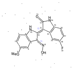 COc1ccc2c(c1)C(=N\O)/C(=C1/C(=O)Nc3ccc(F)cc31)N2